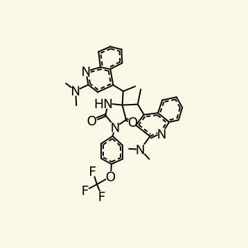 CC(c1cc(N(C)C)nc2ccccc12)C1(C(C)c2cc(N(C)C)nc3ccccc23)NC(=O)N(c2ccc(OC(F)(F)F)cc2)C1=O